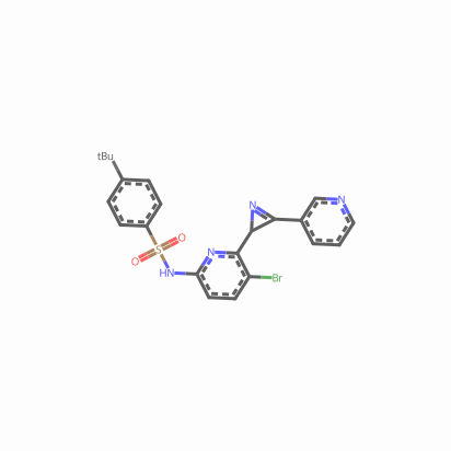 CC(C)(C)c1ccc(S(=O)(=O)Nc2ccc(Br)c(C3N=C3c3cccnc3)n2)cc1